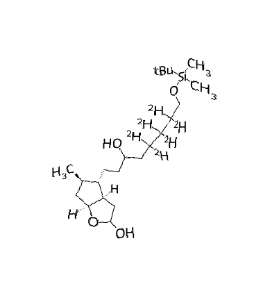 [2H]C([2H])(CO[Si](C)(C)C(C)(C)C)C([2H])([2H])C([2H])([2H])CC(O)CC[C@@H]1[C@H]2CC(O)O[C@H]2C[C@H]1C